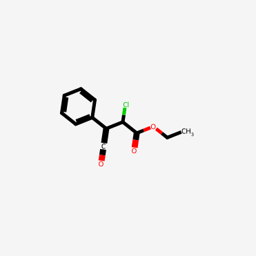 CCOC(=O)C(Cl)C(=C=O)c1ccccc1